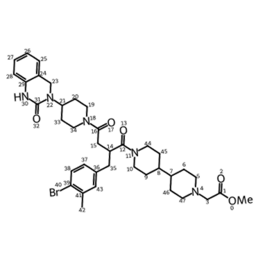 COC(=O)CN1CCC(C2CCN(C(=O)C(CC(=O)N3CCC(N4Cc5ccccc5NC4=O)CC3)Cc3ccc(Br)c(C)c3)CC2)CC1